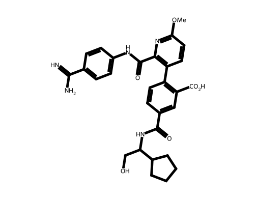 COc1ccc(-c2ccc(C(=O)NC(CO)C3CCCC3)cc2C(=O)O)c(C(=O)Nc2ccc(C(=N)N)cc2)n1